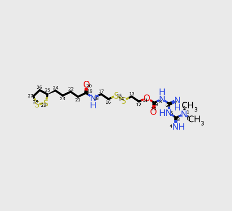 CN(C)C(=N)NC(=N)NC(=O)OCCSSCCNC(=O)CCCC[C@@H]1CCSS1